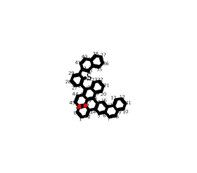 c1ccc(-c2cc3ccc4ccccc4c3cc2-c2c3ccccc3c(-c3cccc4c3sc3c5ccccc5ccc43)c3ccccc23)cc1